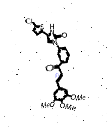 COc1cc(/C=C/C(=O)c2cccc(-n3cc(-c4ccc(Cl)s4)[nH]c3=O)c2)cc(OC)c1OC